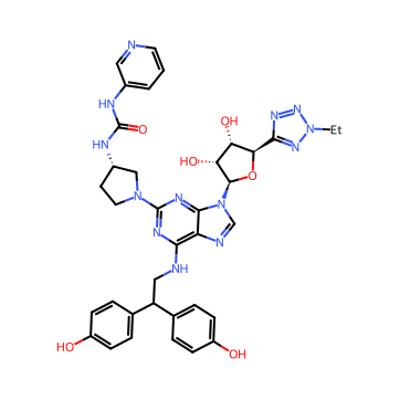 CCn1nnc([C@H]2O[C@@H](n3cnc4c(NCC(c5ccc(O)cc5)c5ccc(O)cc5)nc(N5CC[C@H](NC(=O)Nc6cccnc6)C5)nc43)[C@H](O)[C@@H]2O)n1